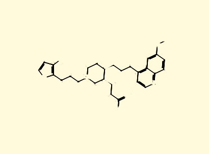 COc1ccc2nccc(CCC[C@@H]3CCN(CCCc4sccc4Cl)C[C@@H]3CCC(=O)O)c2c1